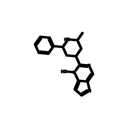 CC1CC(c2ncc3nccc-3n2O)CC(c2ccccc2)N1